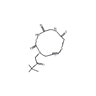 CC(C)(C)C(=O)CN1C/C=C\CCC(=O)NCC(=O)NCC1=O